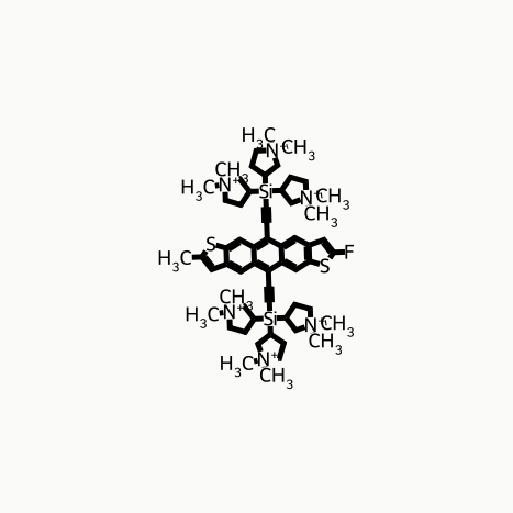 Cc1cc2cc3c(C#C[Si](C4CC[N+](C)(C)C4)(C4CC[N+](C)(C)C4)C4CC[N+](C)(C)C4)c4cc5sc(F)cc5cc4c(C#C[Si](C4CC[N+](C)(C)C4)(C4CC[N+](C)(C)C4)C4CC[N+](C)(C)C4)c3cc2s1